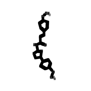 COc1ccc(/C=C/C(=O)NC2=NC(c3ccc(OC)cc3)CS2)cc1